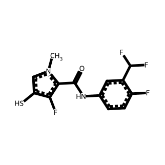 Cn1cc(S)c(F)c1C(=O)Nc1ccc(F)c(C(F)F)c1